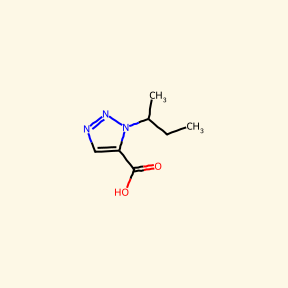 CCC(C)n1nncc1C(=O)O